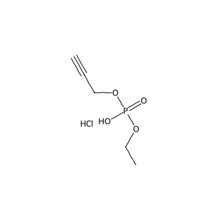 C#CCOP(=O)(O)OCC.Cl